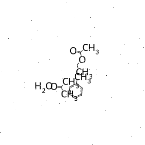 CC(C)=O.CCOC(C)=O.Cc1ccccc1.O